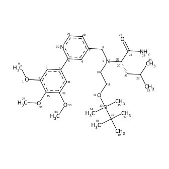 COc1cc(-c2cc(CN(CCO[Si](C)(C)C(C)(C)C)[C@@H](CC(C)C)C(N)=O)ccn2)cc(OC)c1OC